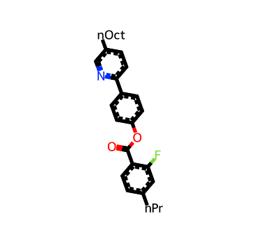 CCCCCCCCc1ccc(-c2ccc(OC(=O)c3ccc(CCC)cc3F)cc2)nc1